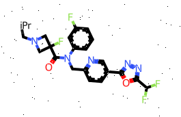 CC(C)CN1CC(F)(C(=O)N(Cc2ccc(-c3nnc(C(F)F)o3)cn2)c2cccc(F)c2)C1